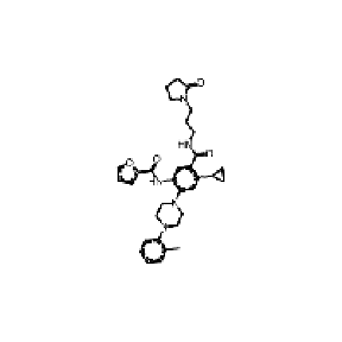 Cc1ccccc1N1CCN(c2cc(C3CC3)c(C(=O)NCCCN3CCCC3=O)cc2NC(=O)c2ccco2)CC1